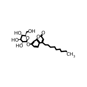 CCCCCCCCCc1cc(=O)oc2cc(O[C@H]3O[C@H](CO)[C@@H](O)[C@H](O)[C@H]3O)ccc12